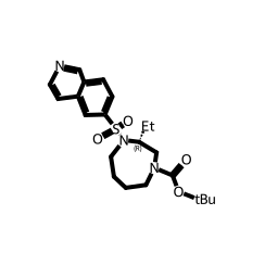 CC[C@@H]1CN(C(=O)OC(C)(C)C)CCCCN1S(=O)(=O)c1ccc2cnccc2c1